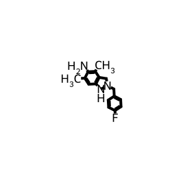 Cc1cc2c(c(C)c1N)CN(Cc1ccc(F)cc1)N2